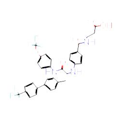 O=C(O)CCNC(=O)c1ccc(N[C@H](Cc2ccc(-c3ccc(C(F)(F)F)cc3)cc2)C(=O)Nc2ccc(OC(F)(F)F)cc2)cc1